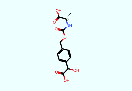 C[C@H](NC(=O)OCc1ccc(C(O)C(=O)O)cc1)C(=O)O